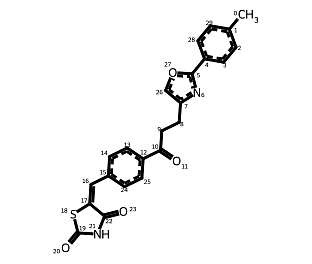 Cc1ccc(-c2nc(CCC(=O)c3ccc(/C=C4/SC(=O)NC4=O)cc3)co2)cc1